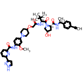 C#Cc1ccc([C@H](C)NC(=O)[C@@H]2C[C@@H](O)CN2C(=O)[C@@H](NC(=O)COC2CCN(c3ccc(NC(=O)c4cccc(-c5cc[nH]n5)n4)c(OC)c3)CC2)C(C)(C)C)cc1